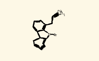 C=CCc1cccc2c3ccccc3n(Br)c12